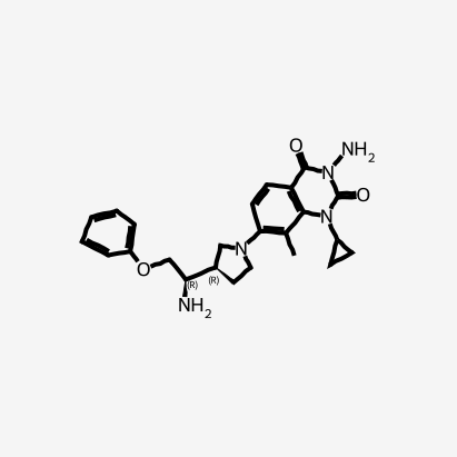 Cc1c(N2CC[C@@H]([C@@H](N)COc3ccccc3)C2)ccc2c(=O)n(N)c(=O)n(C3CC3)c12